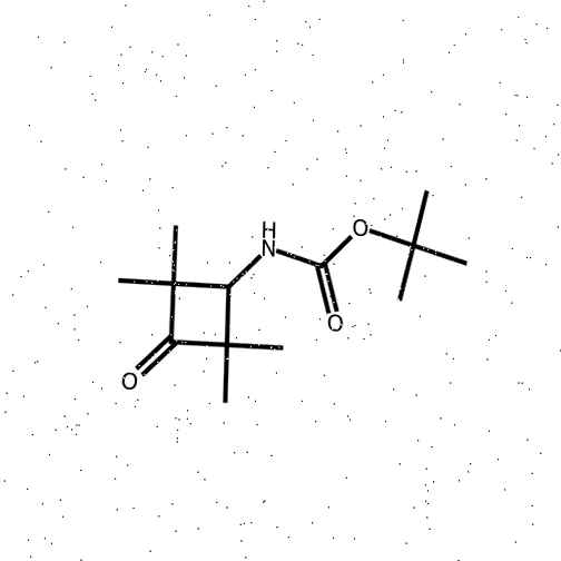 CC(C)(C)OC(=O)NC1C(C)(C)C(=O)C1(C)C